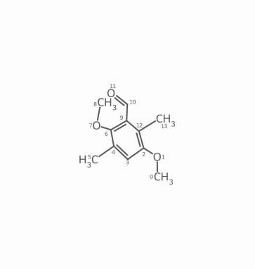 COc1cc(C)c(OC)c(C=O)c1C